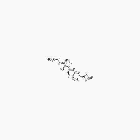 Cc1cnc([C@@H](CC(C)C)C(=O)NCCC(=O)O)cc1CCN1CC(F)C1